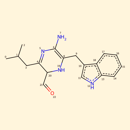 CC(C)CC1=NC(N)=C(Cc2c[nH]c3ccccc23)NC1C=O